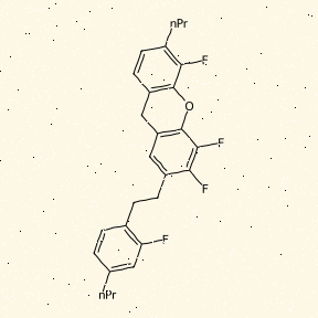 CCCc1ccc(CCc2cc3c(c(F)c2F)Oc2c(ccc(CCC)c2F)C3)c(F)c1